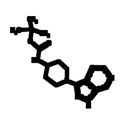 CC(C)(C)OC(=O)NC1CCN(c2n[nH]c3cnccc23)CC1